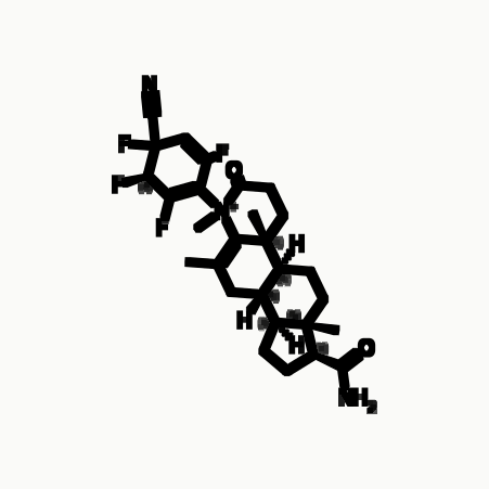 CC1=C2[C@](C)(CCC(=O)[N+]2(C)C2=C(F)[C@@H](F)C(F)(C#N)C=C2F)[C@H]2CC[C@]3(C)[C@@H](C(N)=O)CC[C@H]3[C@@H]2C1